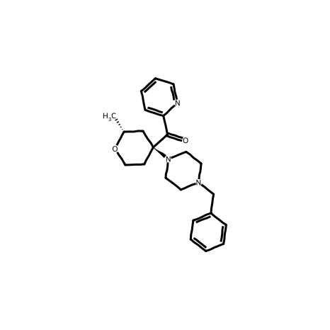 C[C@@H]1C[C@@](C(=O)c2ccccn2)(N2CCN(Cc3ccccc3)CC2)CCO1